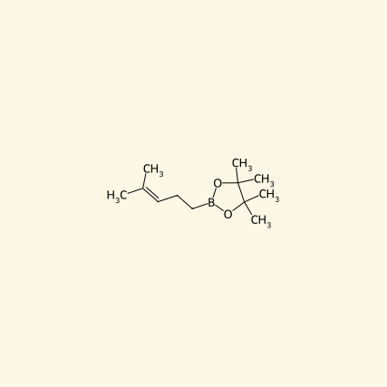 CC(C)=CCCB1OC(C)(C)C(C)(C)O1